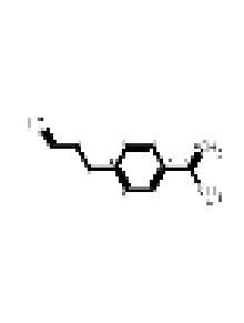 C=CCCc1ccc(C(=C)C)cc1